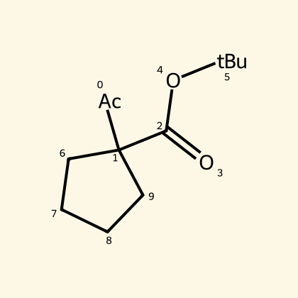 CC(=O)C1(C(=O)OC(C)(C)C)CCCC1